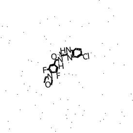 C[C@H](NC(=O)c1cc(F)c(N2CCOCC2)c(F)c1)c1nc2cc(Cl)ccc2[nH]1